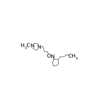 CCCCC1CCCCC1=NOCCCN1CCN(C)CC1